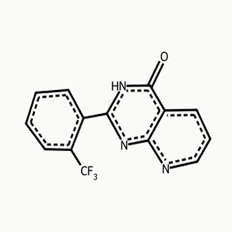 O=c1[nH]c(-c2ccccc2C(F)(F)F)nc2ncccc12